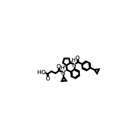 O=C(O)CCC(=O)N(C1CC1)[C@H]1c2ccccc2N(C(=O)c2ccc(C3CC3)cc2)[C@@H]2CCC[C@@H]21